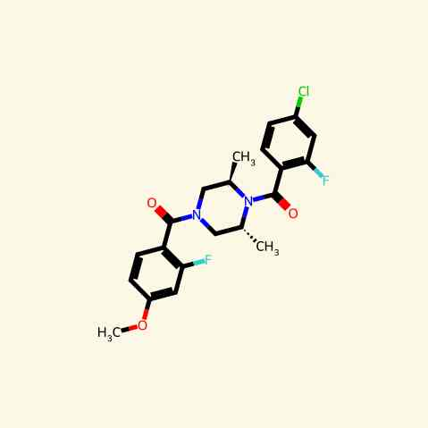 COc1ccc(C(=O)N2C[C@@H](C)N(C(=O)c3ccc(Cl)cc3F)[C@H](C)C2)c(F)c1